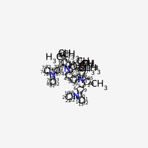 Cc1cc(-c2ccc3c(c2)c2ccccc2n3-c2ccccc2)c2c(c1)c1cc(C(C)(C)C)cc3c4c5c(ccc4n2c13)ccc1c5c2cc(C(C)(C)C)cc3c4cc(C(C)(C)C)cc(-c5ccc6c(c5)c5ccccc5n6-c5ccccc5)c4n1c32